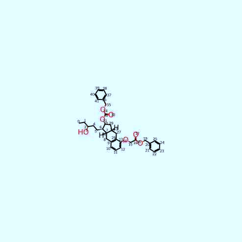 CC[C@H](O)CC[C@@H]1[C@H]2Cc3cccc(OCC(=O)OCc4ccccc4)c3C[C@H]2C[C@H]1OC(=O)OCc1ccccc1